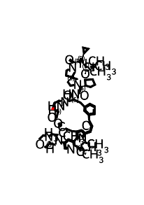 CCn1c(-c2cc(N3CCN4CCOC[C@@H]4C3)cnc2[C@H](C)OC)c2c3cc(ccc31)-c1cccc(c1)C[C@H](NC(=O)[C@H](C1CCCC1)N1CC[C@]3(CCN(C(=O)[C@H]4[C@@H](C5CC5)N4[S@+]([O-])C(C)(C)C)C3)C1)C(=O)N1CCC[C@H](N1)C(=O)OCC(C)(C)C2